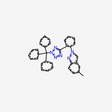 Cc1ccc2nn(-c3ccccc3-c3nnn(C(c4ccccc4)(c4ccccc4)c4ccccc4)n3)cc2c1